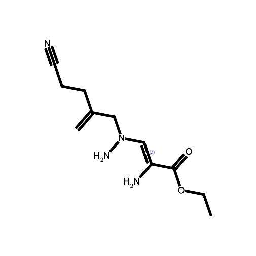 C=C(CCC#N)CN(N)/C=C(\N)C(=O)OCC